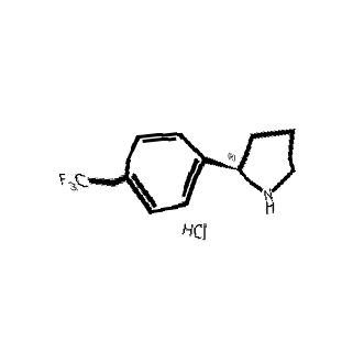 Cl.FC(F)(F)c1ccc([C@H]2CCCN2)cc1